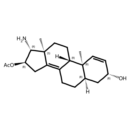 CC(=O)O[C@@H]1CC2=C3CC[C@@H]4C[C@@H](O)C=C[C@]4(C)[C@H]3CC[C@]2(C)[C@H]1N